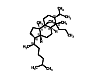 CCC[C@]1(C)[C@H]2CC[C@@H]3[C@@H]([C@H](C)CCCC(C)C)CC[C@@]3(C)[C@]2(C)CC[C@H]1C(C)C